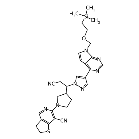 C[Si](C)(C)CCOCn1ccc2c(-c3cnn(C(CC#N)C4CCN(c5ncc6c(c5C#N)SCC6)C4)c3)ncnc21